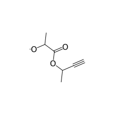 C#CC(C)OC(=O)C(C)[O]